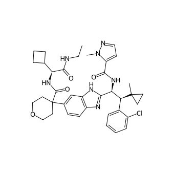 CCNC(=O)[C@@H](NC(=O)C1(c2ccc3nc([C@@H](NC(=O)c4ccnn4C)[C@H](c4ccccc4Cl)C4(C)CC4)[nH]c3c2)CCOCC1)C1CCC1